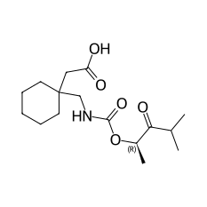 CC(C)C(=O)[C@@H](C)OC(=O)NCC1(CC(=O)O)CCCCC1